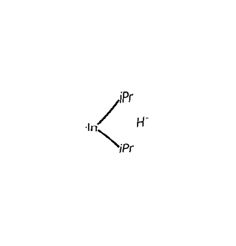 C[CH](C)[In][CH](C)C.[H-]